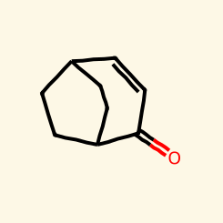 O=C1C=CC2CCC1CC2